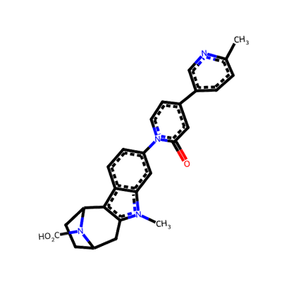 Cc1ccc(-c2ccn(-c3ccc4c5c(n(C)c4c3)CC3CCC5N3C(=O)O)c(=O)c2)cn1